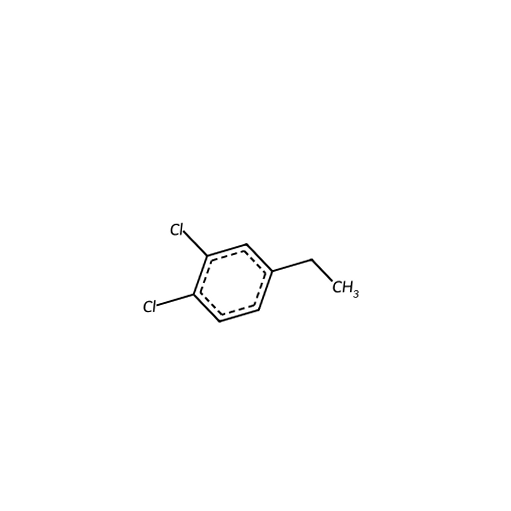 CCc1ccc(Cl)c(Cl)c1